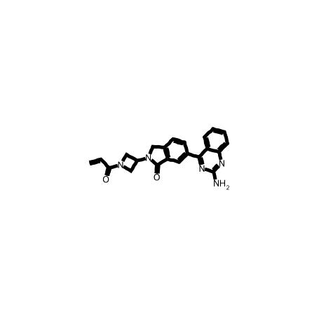 C=CC(=O)N1CC(N2Cc3ccc(-c4nc(N)nc5ccccc45)cc3C2=O)C1